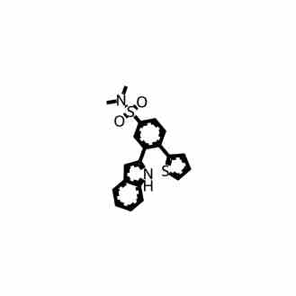 CN(C)S(=O)(=O)c1ccc(-c2cccs2)c(-c2cc3ccccc3[nH]2)c1